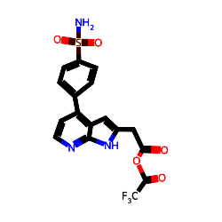 NS(=O)(=O)c1ccc(-c2ccnc3[nH]c(CC(=O)OC(=O)C(F)(F)F)cc23)cc1